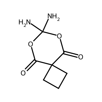 NC1(N)OC(=O)C2(CCC2)C(=O)O1